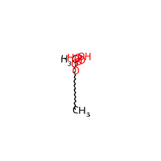 CCCCCCCCCCCCCCCCCCOCCOC(C)OP(=O)(O)O